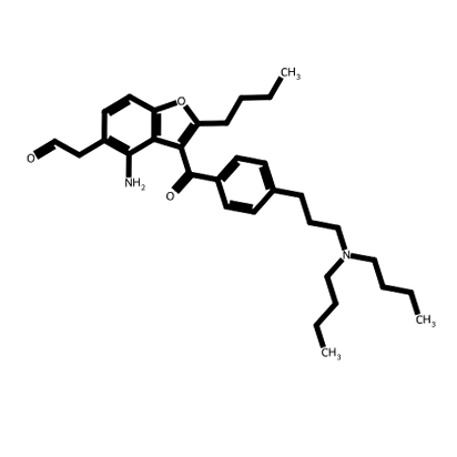 CCCCc1oc2ccc(CC=O)c(N)c2c1C(=O)c1ccc(CCCN(CCCC)CCCC)cc1